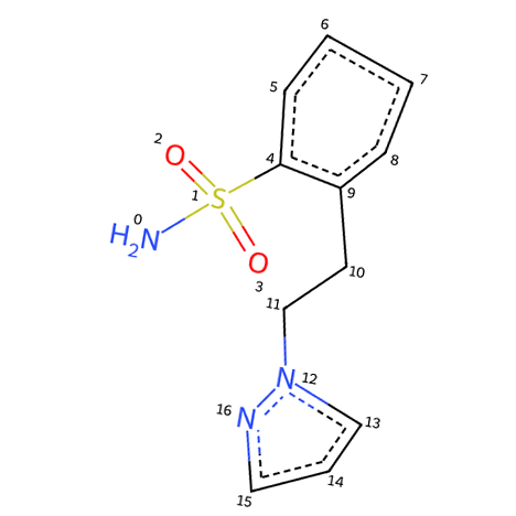 NS(=O)(=O)c1ccccc1CCn1cccn1